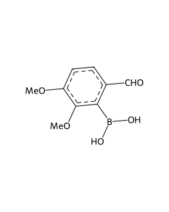 COc1ccc(C=O)c(B(O)O)c1OC